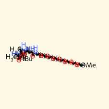 COCCOCCOCCOCCOCCOCCOCCOCCNC(=O)CCC(N)C(=O)NC(C)C(=O)NC(C)C(=O)OC(C)(C)C